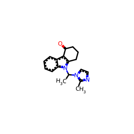 Cc1nccn1C(C)n1c2c(c3ccccc31)C(=O)CCC2